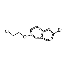 ClCCOc1ccc2cc(Br)ccc2c1